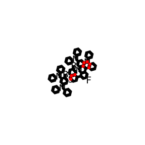 Fc1cc(-c2ccccc2)c(N2c3cc4c(cc3B3c5ccccc5N(c5ccccc5)c5cc(N(c6ccccc6)c6ccccc6)cc2c53)B2c3ccccc3N(c3ccccc3)c3cc(N(c5ccccc5)c5ccccc5)cc(c32)S4)c(-c2ccccc2)c1